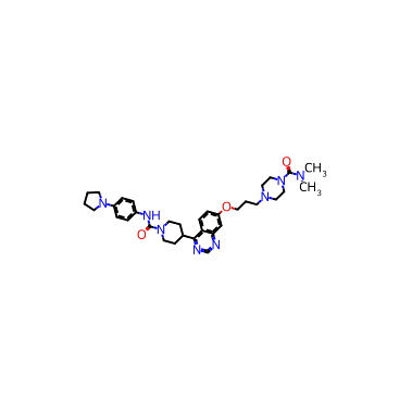 CN(C)C(=O)N1CCN(CCCOc2ccc3c(C4CCN(C(=O)Nc5ccc(N6CCCC6)cc5)CC4)ncnc3c2)CC1